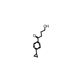 O=C(CCCO)c1ccc(C2CC2)cc1